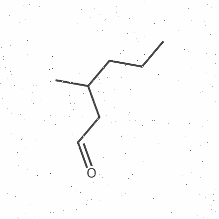 CCCC(C)CC=O